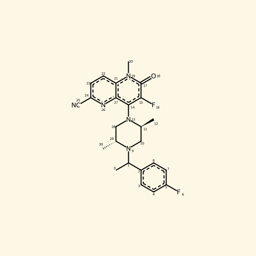 CC(c1ccc(F)cc1)N1C[C@H](C)N(c2c(F)c(=O)n(C)c3ccc(C#N)nc23)C[C@H]1C